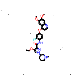 CCOc1cn(C2CCCN(C)C2)nc1C(=O)Nc1ccc(Oc2ccnc3cc(OC)c(OC)cc23)cc1F